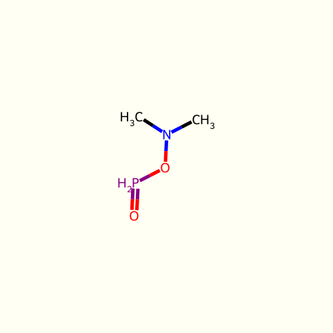 CN(C)O[PH2]=O